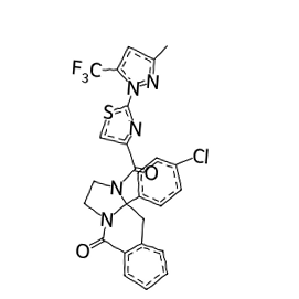 Cc1cc(C(F)(F)F)n(-c2nc(C(=O)N3CCN4C(=O)c5ccccc5CC34c3ccc(Cl)cc3)cs2)n1